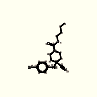 CCCCOC(=O)N1CCC(C#N)(Nc2ccc(Br)cc2)CC1